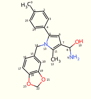 Cc1ccc(-c2cc(C(N)O)c(C)n2Cc2ccc3c(c2)OCO3)cc1